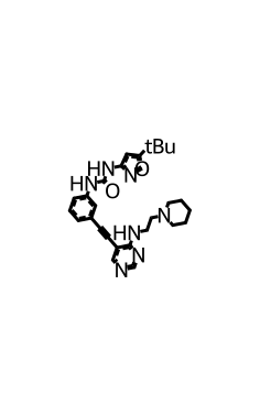 CC(C)(C)c1cc(NC(=O)Nc2cccc(C#Cc3cncnc3NCCN3CCCCC3)c2)no1